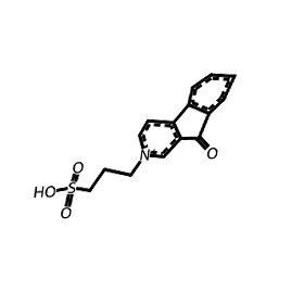 O=C1c2ccccc2-c2cc[n+](CCCS(=O)(=O)O)cc21